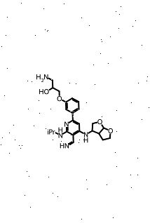 CC(C)Nc1nc(-c2cccc(OCC(O)CN)c2)cc(NC2COC3OCCC23)c1C=N